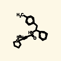 CCCC[Si]1(C#CC(=O)NC(Cc2ccc(C)cc2)c2ccccc2)CCCC1